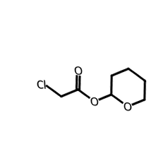 O=C(CCl)OC1CCCCO1